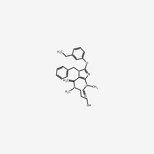 C=C(c1c(N(C)C=O)nc(Oc2cccc(CC)c2)n1Cc1ccccc1)N(C)CCCO